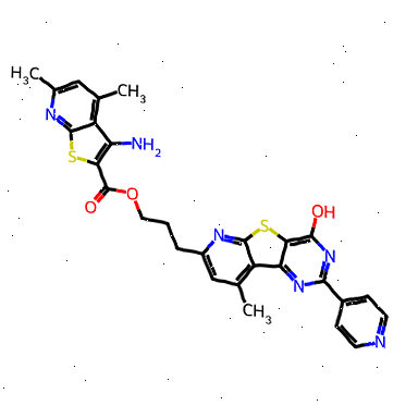 Cc1cc(C)c2c(N)c(C(=O)OCCCc3cc(C)c4c(n3)sc3c(O)nc(-c5ccncc5)nc34)sc2n1